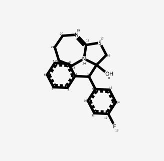 OC1(C(c2ccccc2)c2ccc(F)cc2)CSC2=NCCCCN21